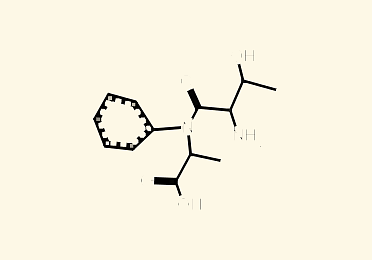 CC(O)C(N)C(=O)N(c1ccccc1)C(C)C(=O)O